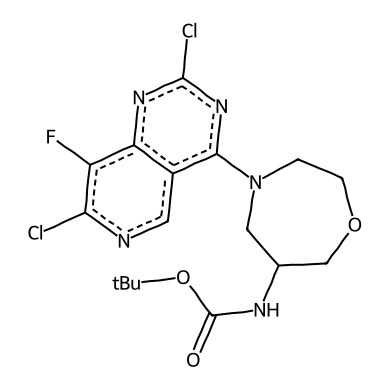 CC(C)(C)OC(=O)NC1COCCN(c2nc(Cl)nc3c(F)c(Cl)ncc23)C1